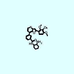 COc1ccc(-c2cc3nccc(-c4cccc(C(=O)NC5CCCCC5N)c4)c3o2)c(OC)c1OC